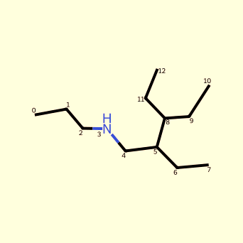 CCCNCC(CC)C(CC)CC